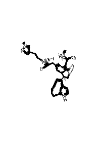 CNC(=O)c1cc(C(=O)NCCc2cnn(C)c2)cc2c1OC[C@H]2c1cccc2[nH]ccc12